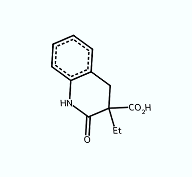 CCC1(C(=O)O)Cc2ccccc2NC1=O